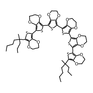 CCCCC(C)(CCC)c1sc(-c2sc(-c3sc(-c4sc(-c5sc(-c6sc(C(C)(CCC)CCCC)c7c6OCCO7)c6c5OCCO6)c5c4OCCO5)c4c3OCCO4)c3c2OCCO3)c2c1OCCO2